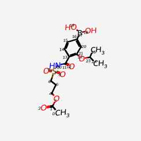 CC(=O)OCCCS(=O)(=O)NC(=O)c1ccc(B(O)O)cc1OC(C)C